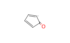 O=C1[C]=CC=C1